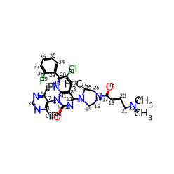 CC(C)c1ncnc(C(C)C)c1-n1c(=O)nc(N2CCN(C(=O)/C=C/CN(C)C)C[C@@H]2C)c2cc(Cl)c(-c3ccccc3F)nc21